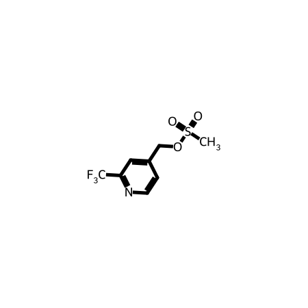 CS(=O)(=O)OCc1ccnc(C(F)(F)F)c1